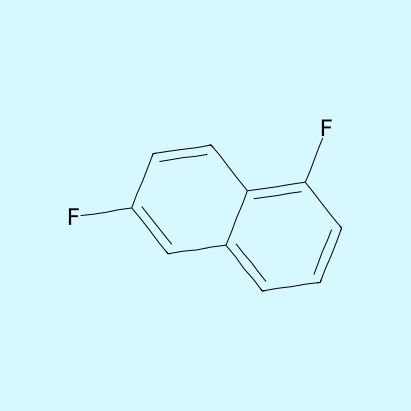 Fc1ccc2c(F)cccc2c1